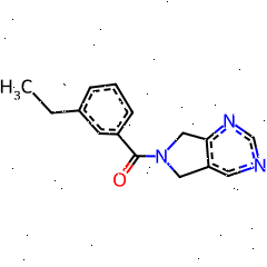 CCc1cccc(C(=O)N2Cc3cncnc3C2)c1